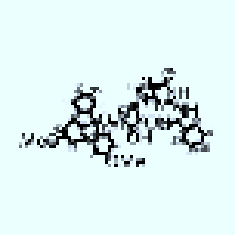 COc1ccc(C(OC[C@H]2O[C@@H](n3cnc4c(=O)[nH]c(NC(=O)c5ccccc5)nc43)[C@H](O)[C@@H]2O)(c2ccccc2)c2ccc(OC)cc2)cc1